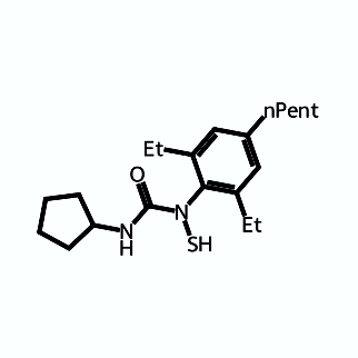 CCCCCc1cc(CC)c(N(S)C(=O)NC2CCCC2)c(CC)c1